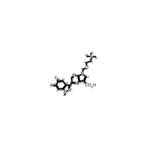 Cn1nc(-c2cnc3c(n2)c(C(=O)O)cn3COCC[Si](C)(C)C)c2cc(F)c(F)cc21